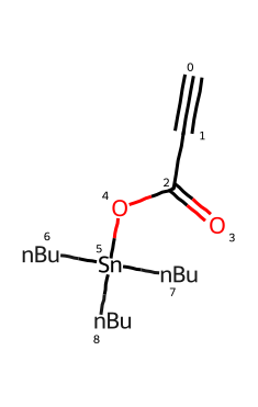 C#CC(=O)[O][Sn]([CH2]CCC)([CH2]CCC)[CH2]CCC